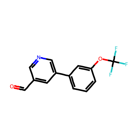 O=Cc1cncc(-c2cccc(OC(F)(F)F)c2)c1